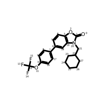 O=c1oc2ccc(-c3ccc(OC(F)(F)F)cc3)cc2n1CC1CCCCC1